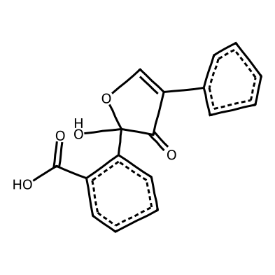 O=C(O)c1ccccc1C1(O)OC=C(c2ccccc2)C1=O